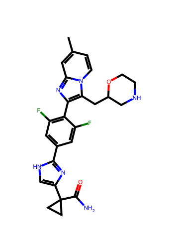 Cc1ccn2c(CC3CNCCO3)c(-c3c(F)cc(-c4nc(C5(C(N)=O)CC5)c[nH]4)cc3F)nc2c1